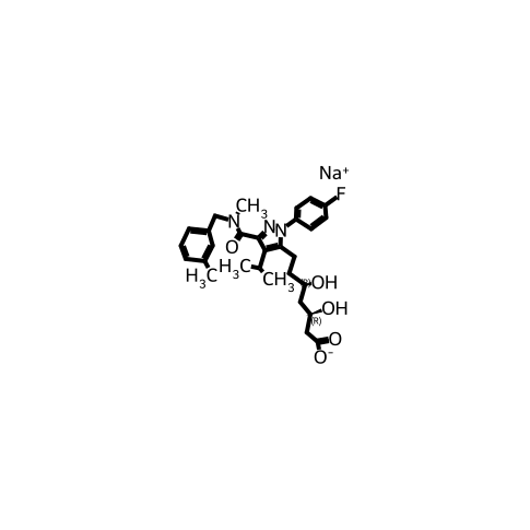 Cc1cccc(CN(C)C(=O)c2nn(-c3ccc(F)cc3)c(CC[C@@H](O)C[C@@H](O)CC(=O)[O-])c2C(C)C)c1.[Na+]